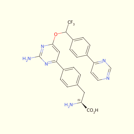 Nc1nc(OC(c2ccc(-c3ccncn3)cc2)C(F)(F)F)cc(-c2ccc(C[C@H](N)C(=O)O)cc2)n1